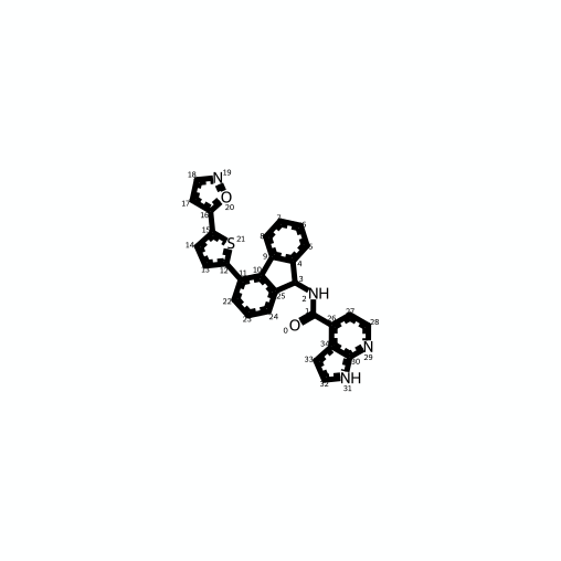 O=C(NC1c2ccccc2-c2c(-c3ccc(-c4ccno4)s3)cccc21)c1ccnc2[nH]ccc12